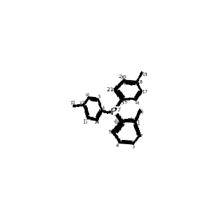 [CH2]c1ccccc1P(c1ccc(C)cc1)c1ccc(C)cc1